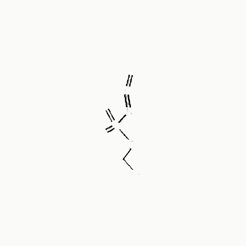 O=C=NS(=O)(=O)OCC(Cl)(Cl)Cl